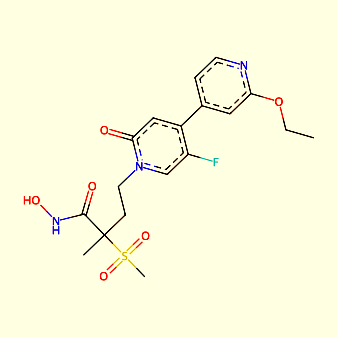 CCOc1cc(-c2cc(=O)n(CCC(C)(C(=O)NO)S(C)(=O)=O)cc2F)ccn1